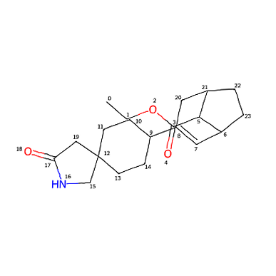 CCOC(=O)C1C2C=C(C3CCC4(CC3)CNC(=O)C4)CC1CC2